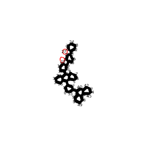 c1cc(-c2c3ccccc3c(-c3ccc4oc5c(ccc6c7ccccc7oc65)c4c3)c3ccccc23)cc(-c2cc3ccccc3c3ccccc23)c1